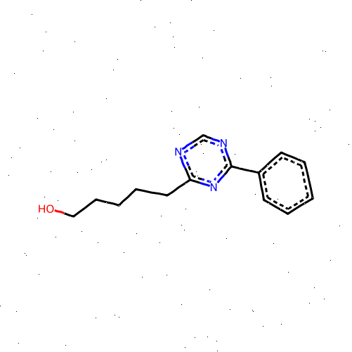 OCCCCCc1ncnc(-c2ccccc2)n1